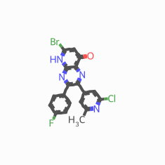 Cc1cc(-c2nc3c(=O)cc(Br)[nH]c3nc2-c2ccc(F)cc2)cc(Cl)n1